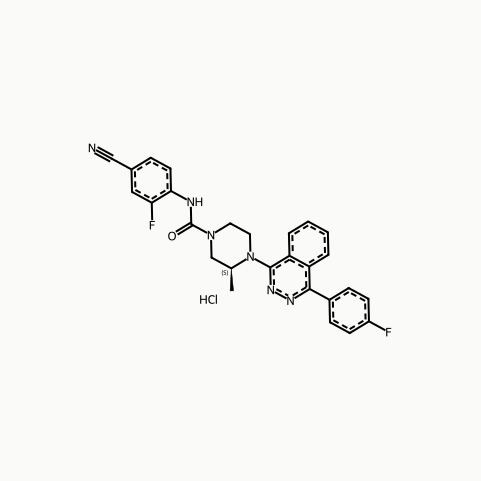 C[C@H]1CN(C(=O)Nc2ccc(C#N)cc2F)CCN1c1nnc(-c2ccc(F)cc2)c2ccccc12.Cl